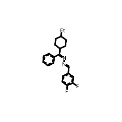 CCC1CCC(C(=NN=Cc2ccc(F)c(F)c2)c2ccccc2)CC1